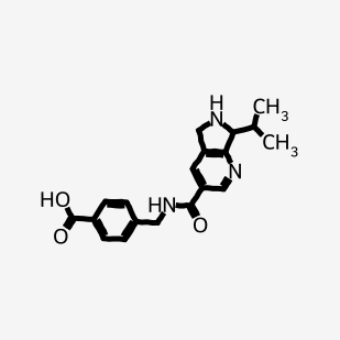 CC(C)C1NCc2cc(C(=O)NCc3ccc(C(=O)O)cc3)cnc21